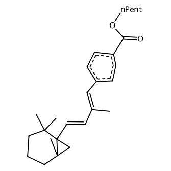 CCCCCOC(=O)c1ccc(C=C(C)C=CC23CC2(C)CCCC3(C)C)cc1